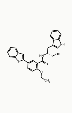 CCOc1ccc(-c2cc3ccccc3s2)cc1C(=O)N[C@@H](CO)Cc1c[nH]c2ccccc12